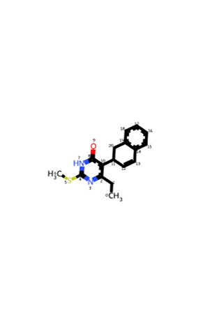 CCc1nc(SC)[nH]c(=O)c1C1C=Cc2ccccc2C1